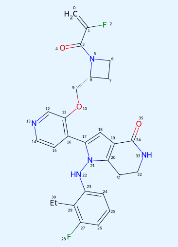 C=C(F)C(=O)N1CC[C@@H]1COc1cnccc1-c1cc2c(n1Nc1cccc(F)c1CC)CCNC2=O